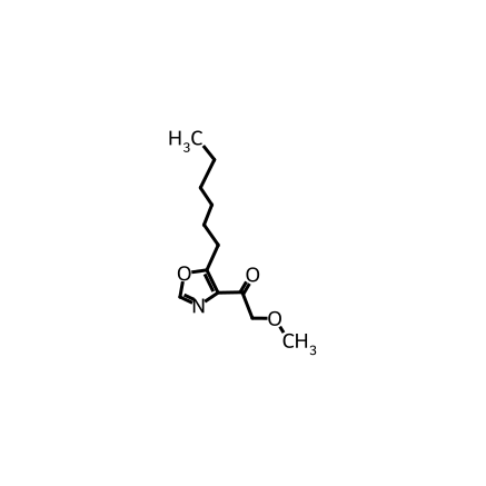 CCCCCCc1ocnc1C(=O)COC